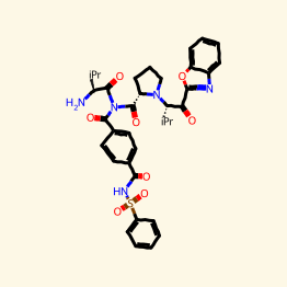 CC(C)[C@H](N)C(=O)N(C(=O)c1ccc(C(=O)NS(=O)(=O)c2ccccc2)cc1)C(=O)[C@@H]1CCCN1[C@H](C(=O)c1nc2ccccc2o1)C(C)C